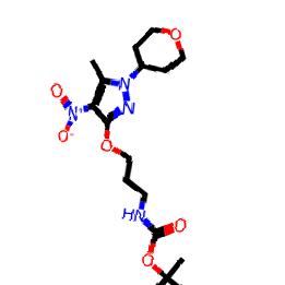 Cc1c([N+](=O)[O-])c(OCCCNC(=O)OC(C)(C)C)nn1C1CCOCC1